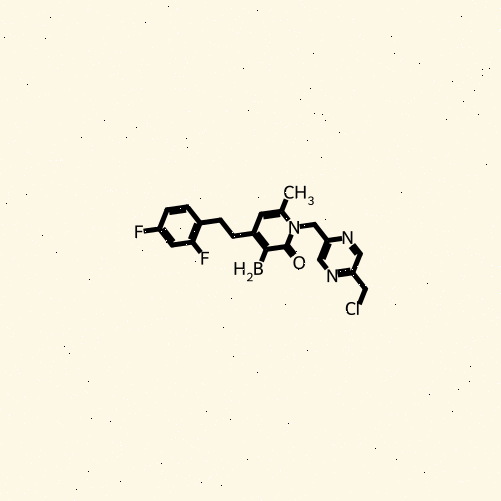 Bc1c(CCc2ccc(F)cc2F)cc(C)n(Cc2cnc(CCl)cn2)c1=O